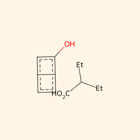 CCC(CC)C(=O)O.Oc1cc2ccc1-2